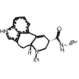 CC[C@@H](C)NC(=O)[C@H]1C=C2c3cccc4[nH]cc(c34)C[C@H]2N(CC)C1